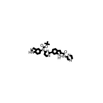 CC(C)(C)OC(=O)N(c1ccc2[nH]ncc2c1)c1ccnc(-c2ccc3cc(C(=O)Nc4cnccn4)[nH]c3c2)n1